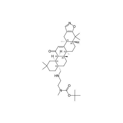 CN(CCNC[C@]12CCC(C)(C)C[C@H]1[C@H]1C(=O)C=C3[C@@]4(C)Cc5cnoc5C(C)(C)[C@@H]4CC[C@@]3(C)[C@]1(C)CC2)C(=O)OC(C)(C)C